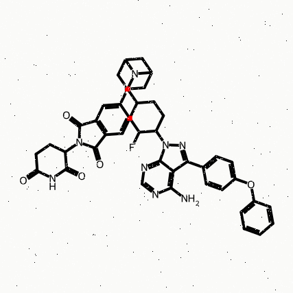 Nc1ncnc2c1c(-c1ccc(Oc3ccccc3)cc1)nn2C1CCC(CN2C3CC2CN(c2ccc4c(c2)C(=O)N(C2CCC(=O)NC2=O)C4=O)C3)CC1F